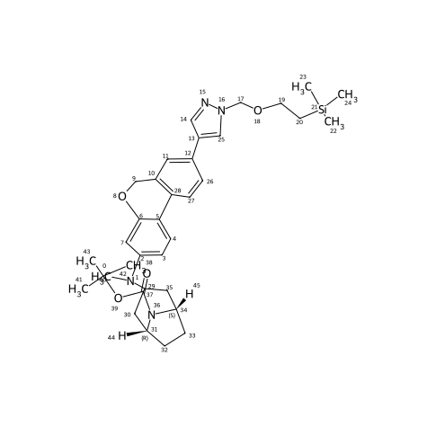 CN(c1ccc2c(c1)OCc1cc(-c3cnn(COCC[Si](C)(C)C)c3)ccc1-2)C1C[C@H]2CC[C@@H](C1)N2C(=O)OC(C)(C)C